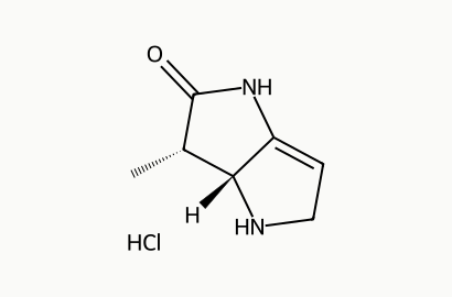 C[C@@H]1C(=O)NC2=CCN[C@@H]21.Cl